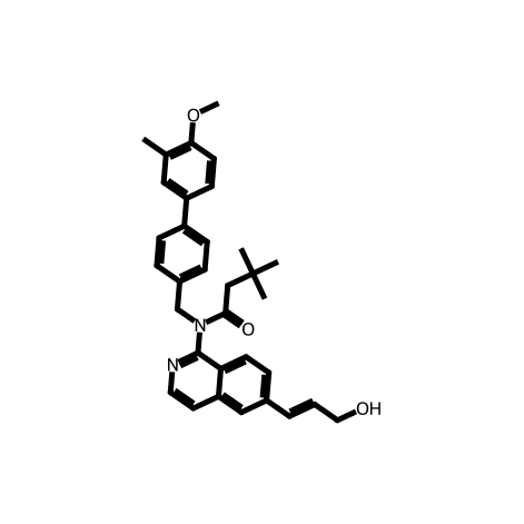 COc1ccc(-c2ccc(CN(C(=O)CC(C)(C)C)c3nccc4cc(/C=C/CO)ccc34)cc2)cc1C